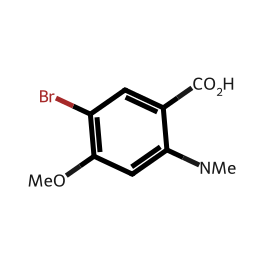 CNc1cc(OC)c(Br)cc1C(=O)O